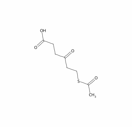 CC(=O)SCCC(=O)CCC(=O)O